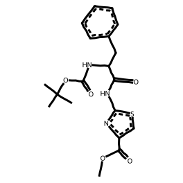 COC(=O)c1csc(NC(=O)C(Cc2ccccc2)NC(=O)OC(C)(C)C)n1